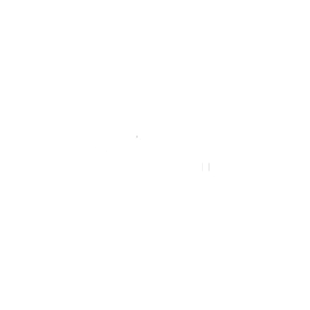 C=C[13CH]=O